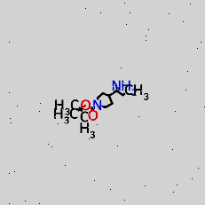 CC[C@H](N)C1CCN(C(=O)OC(C)(C)C)CC1